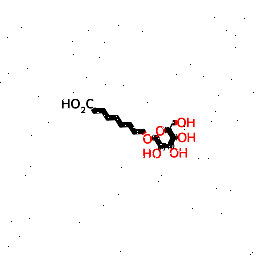 O=C(O)CCCCCCCCO[C@H]1O[C@H](CO)[C@@H](O)[C@H](O)[C@H]1O